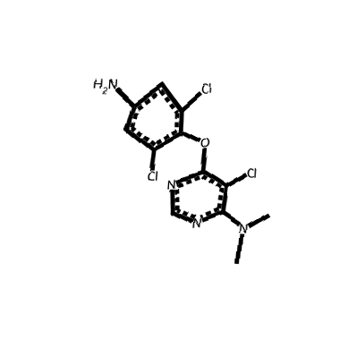 CN(C)c1ncnc(Oc2c(Cl)cc(N)cc2Cl)c1Cl